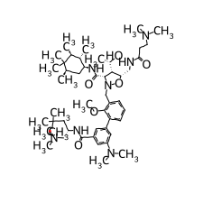 COc1c(CN2O[C@@H](CNC(=O)CCN(C)C)[C@@H]([C@H](C)O)[C@H]2C(=O)N[C@H]2C[C@@H](C)C(C)(C)[C@@H](C)[C@@H]2C)cccc1-c1cc(C(=O)N[C@H](CN(C)C)CC(C)(C)C)cc(N(C)C)c1